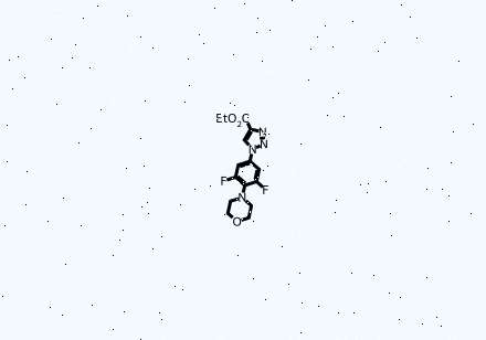 CCOC(=O)c1cn(-c2cc(F)c(N3CCOCC3)c(F)c2)nn1